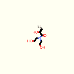 CCC=C(O)C(=O)N(CCO)CCO